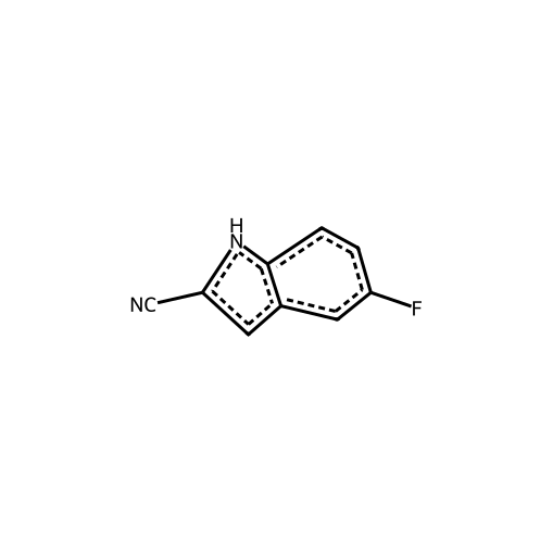 N#Cc1cc2cc(F)ccc2[nH]1